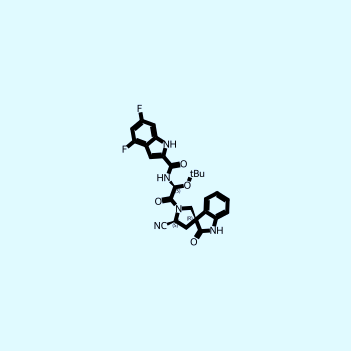 CC(C)(C)O[C@H](NC(=O)c1cc2c(F)cc(F)cc2[nH]1)C(=O)N1C[C@]2(C[C@H]1C#N)C(=O)Nc1ccccc12